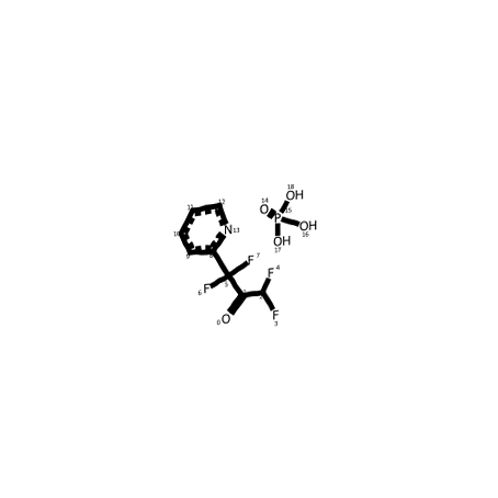 O=C(C(F)F)C(F)(F)c1ccccn1.O=P(O)(O)O